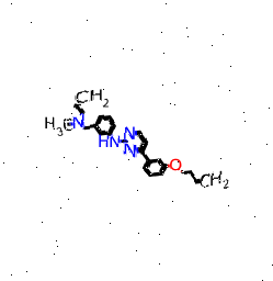 C=CCCOc1cccc(-c2ccnc(Nc3cccc(CN(C)CC=C)c3)n2)c1